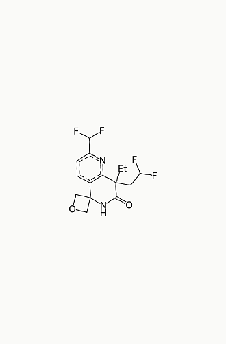 CCC1(CC(F)F)C(=O)NC2(COC2)c2ccc(C(F)F)nc21